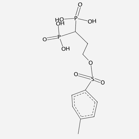 Cc1ccc(S(=O)(=O)OCCC(P(=O)(O)O)P(=O)(O)O)cc1